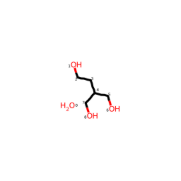 O.OCCC(CO)CO